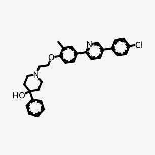 Cc1cc(-c2ccc(-c3ccc(Cl)cc3)cn2)ccc1OCCN1CCC(O)(c2ccccc2)CC1